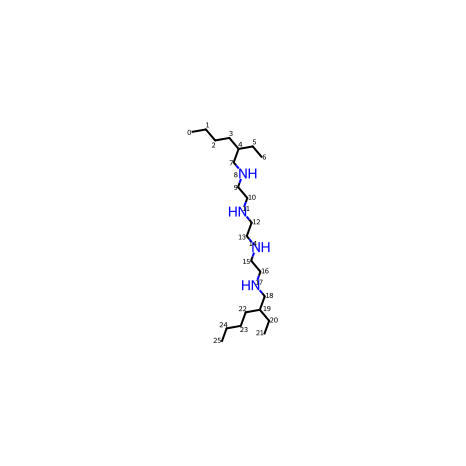 CCCCC(CC)CNCCNCCNCCNCC(CC)CCCC